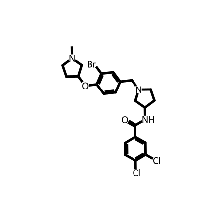 CN1CCC(Oc2ccc(CN3CCC(NC(=O)c4ccc(Cl)c(Cl)c4)C3)cc2Br)C1